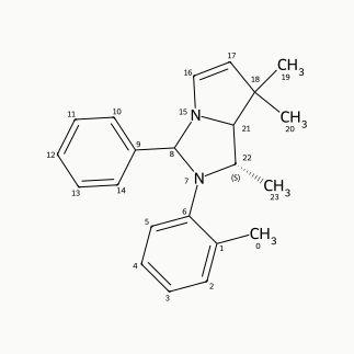 Cc1ccccc1N1C(c2ccccc2)N2C=CC(C)(C)C2[C@@H]1C